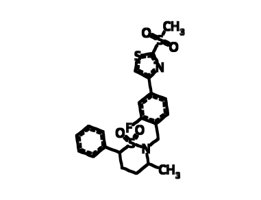 CC1CCC(c2ccccc2)S(=O)(=O)N1Cc1ccc(-c2csc(S(C)(=O)=O)n2)cc1F